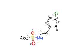 CC(=O)OS(=O)(=O)NC=Cc1ccc(Cl)cc1